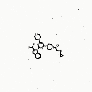 O=C(CNC1CC1)N1CCN(c2cc(N3CCOCC3)nc(-n3c(C(F)F)nc4ccccc43)n2)CC1